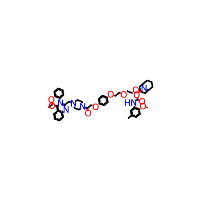 CCOc1ccccc1-n1c(CN2CCN(C(=O)COc3ccc(OCCOCCOCN4C5CCCC4CC(OC(=O)Nc4cc(C)ccc4OC)C5)cc3)CC2)nc2ccccc2c1=O